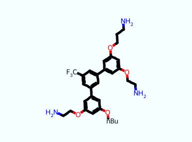 CCCCOc1cc(OCCN)cc(-c2cc(-c3cc(OCCN)cc(OCCCN)c3)cc(C(F)(F)F)c2)c1